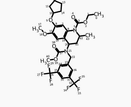 CCOC(=O)N1c2cc(OC3CCCC3)c(OC)cc2C(N(Cc2cc(C(F)(F)F)cc(C(F)(F)F)c2)C(=O)OC)CC1C